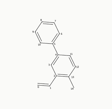 C=Cc1cc(-c2ccccc2)ccc1C